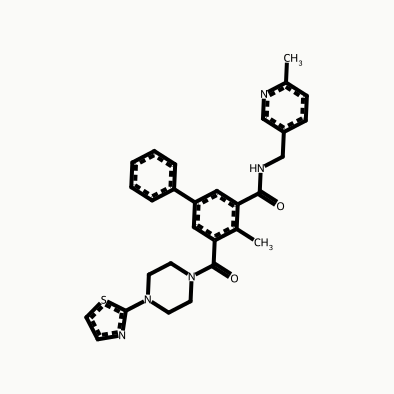 Cc1ccc(CNC(=O)c2cc(-c3ccccc3)cc(C(=O)N3CCN(c4nccs4)CC3)c2C)cn1